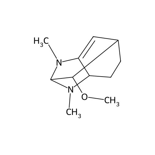 COC1C2C=C3C(CC2)N(C)C1N3C